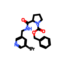 CC(C)c1cncc(CNC(=O)C2CCCN2C(=O)OCc2ccccc2)c1